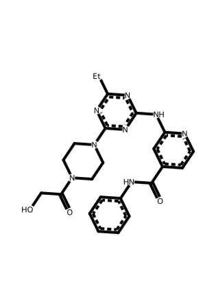 CCc1nc(Nc2cc(C(=O)Nc3ccccc3)ccn2)nc(N2CCN(C(=O)CO)CC2)n1